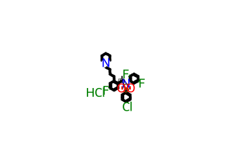 C[C@H](c1ccc(F)cc1CCCCN1CCCCC1)N(c1cc(F)ccc1F)S(=O)(=O)c1ccc(Cl)cc1.Cl